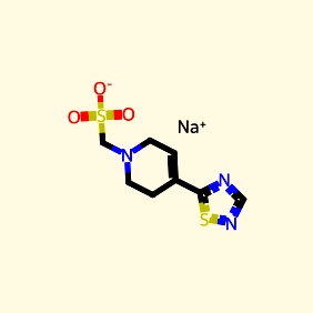 O=S(=O)([O-])CN1CC=C(c2ncns2)CC1.[Na+]